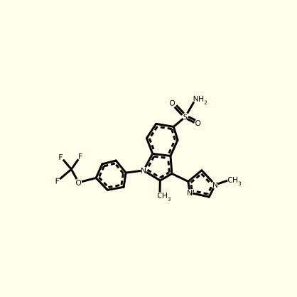 Cc1c(-c2cn(C)cn2)c2cc(S(N)(=O)=O)ccc2n1-c1ccc(OC(F)(F)F)cc1